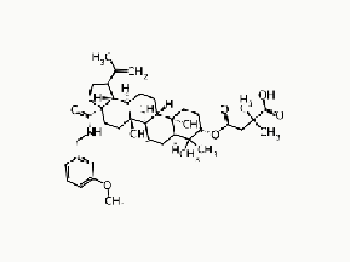 C=C(C)[C@@H]1CC[C@]2(C(=O)NCc3cccc(OC)c3)CC[C@]3(C)[C@H](CC[C@@H]4[C@@]5(C)CC[C@H](OC(=O)CC(C)(C)C(=O)O)C(C)(C)[C@@H]5CC[C@]43C)[C@@H]12